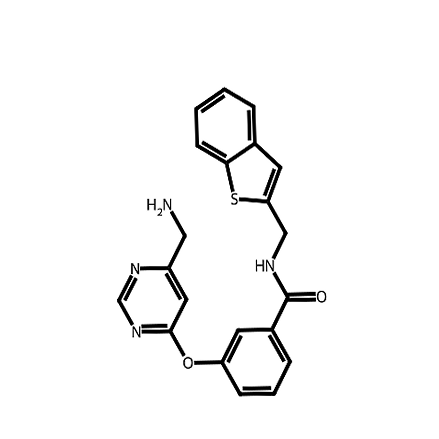 NCc1cc(Oc2cccc(C(=O)NCc3cc4ccccc4s3)c2)ncn1